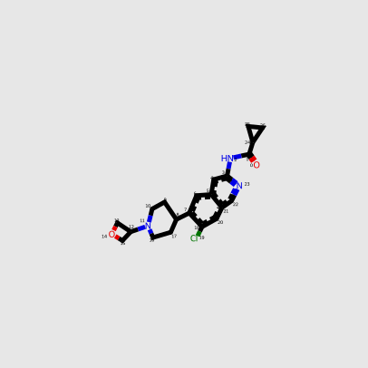 O=C(Nc1cc2cc(C3CCN(C4COC4)CC3)c(Cl)cc2cn1)C1CC1